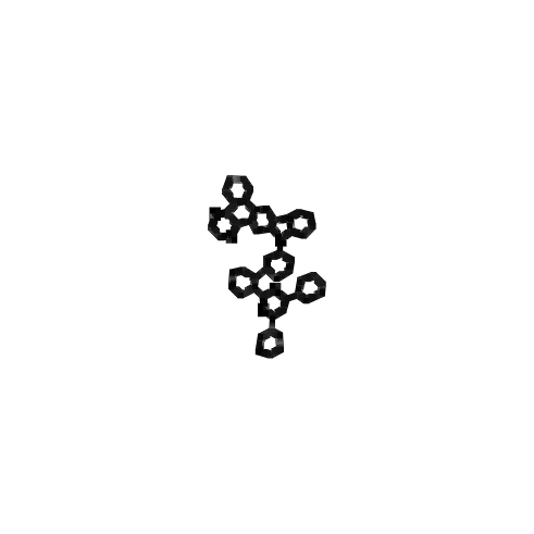 c1ccc(-c2cc(-c3ccccc3)nc(-c3ccccc3-c3cccc(-n4c5ccccc5c5cc6c7ccccc7c7nccnc7c6cc54)c3)n2)cc1